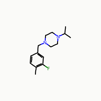 Cc1ccc(CN2CCN(C(C)C)CC2)cc1F